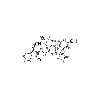 COC1c2ccccc2C(=O)N1CCCCC(C1=CC=CC1)=C(c1ccc(O)cc1)c1ccc(O)cc1